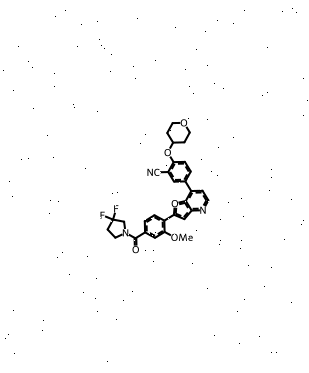 COc1cc(C(=O)N2CCC(F)(F)C2)ccc1-c1cc2nccc(-c3ccc(OC4CCOCC4)c(C#N)c3)c2o1